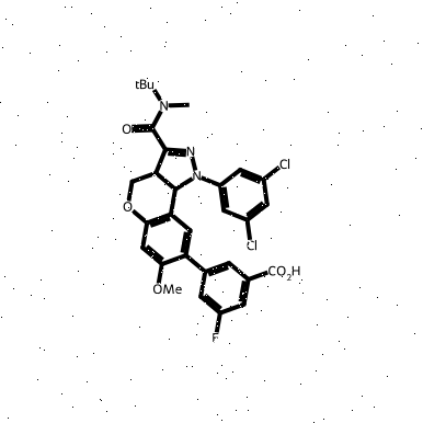 COc1cc2c(cc1-c1cc(F)cc(C(=O)O)c1)C1C(CO2)C(C(=O)N(C)C(C)(C)C)=NN1c1cc(Cl)cc(Cl)c1